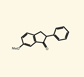 COc1ccc2c(c1)C(=O)C(c1ccccc1)C2